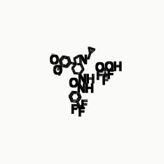 COc1ccc(C23CCC(NC(=O)Nc4cccc(C(F)(F)F)c4)CC2N(CC2CC2)CC3)cc1OC.O=C(O)C(F)(F)F